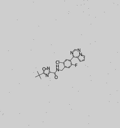 CC(C)(C)c1nc(C(=O)NCc2cc(F)c(-c3ncnn4cccc34)cc2Cl)no1